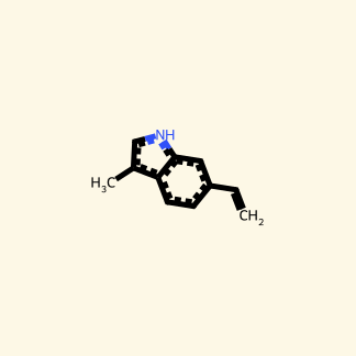 C=Cc1ccc2c(C)c[nH]c2c1